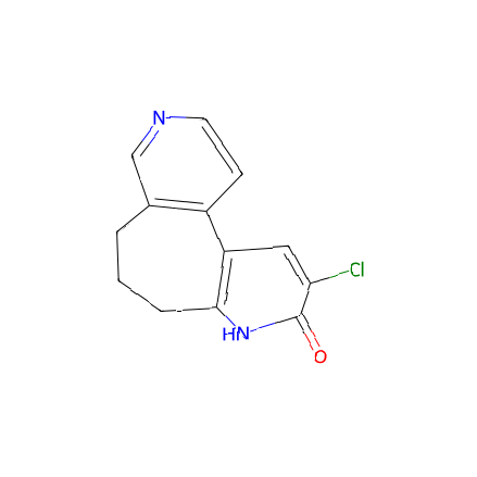 O=c1[nH]c2c(cc1Cl)-c1ccncc1CCC2